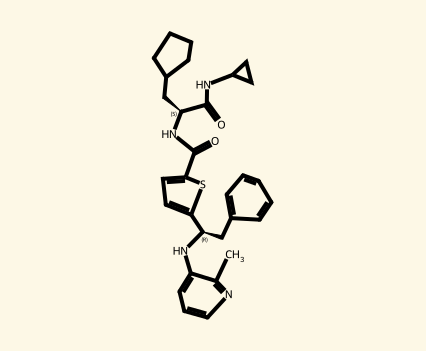 Cc1ncccc1N[C@H](Cc1ccccc1)c1ccc(C(=O)N[C@@H](CC2CCCC2)C(=O)NC2CC2)s1